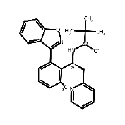 Cc1cccc(-c2noc3ccccc23)c1[C@H](Cc1ccccn1)N[S+]([O-])C(C)(C)C